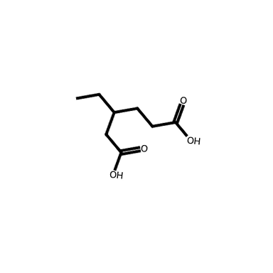 CCC(CCC(=O)O)CC(=O)O